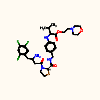 CC(C)C(Nc1ccc(CNC(=O)[C@@H]2SCCN2C(=O)CC(N)Cc2cc(F)c(F)cc2F)cc1)C(=O)OCCN1CCOCC1